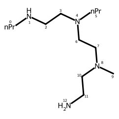 CCCNCCN(CCC)CCN(C)CCN